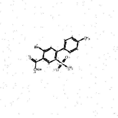 CCC(C)c1cc(-c2ccc(C)cc2)c(S(N)(=O)=O)cc1C(=O)OC